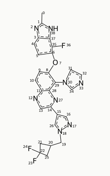 Cc1nc2ccc(Oc3ccc4ncc(-c5cnn(CC6CC(F)(F)C6)c5)nc4c3-n3ccnc3)c(F)c2[nH]1